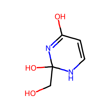 OCC1(O)N=C(O)C=CN1